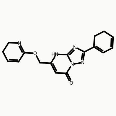 O=c1cc(COC2=NCCC=C2)[nH]c2nc(C3=CC=CCC3)nn12